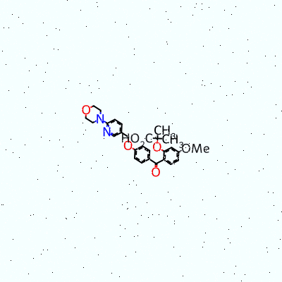 COc1ccc(C(=O)c2ccc(OCc3ccc(N4CCOCC4)nc3)cc2)c(OC(C)(C)C(=O)O)c1